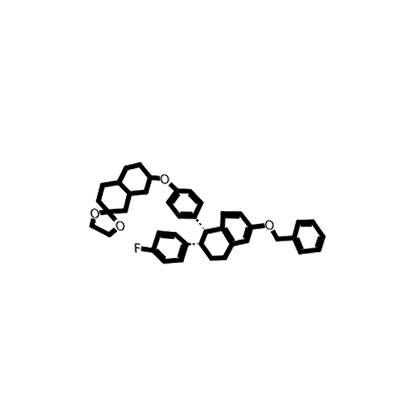 Fc1ccc([C@H]2CCc3cc(OCc4ccccc4)ccc3[C@H]2c2ccc(OC3CCC4CCC5(CC4C3)OCCO5)cc2)cc1